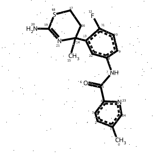 Cc1ccc(C(=O)Nc2ccc(F)c(C3(C)CCSC(N)=N3)c2)nc1